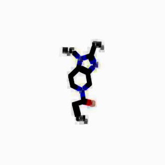 C=CC(=O)N1CCc2c(nc(C)n2C)C1